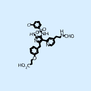 O=CNCCc1ccnc(-c2c(Cc3cccc(OCCC(=O)O)c3)nn(S)c2NS(=O)(=O)c2cccc(Cl)c2)c1